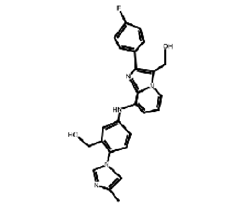 Cc1cn(-c2ccc(Nc3cccn4c(CO)c(-c5ccc(F)cc5)nc34)cc2CO)cn1